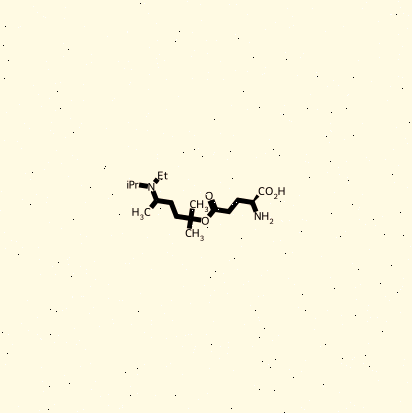 CCN(C(C)C)C(C)CCC(C)(C)OC(=O)CC[C@H](N)C(=O)O